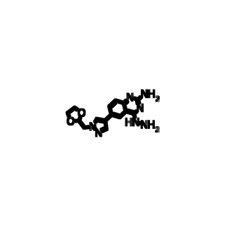 NNc1nc(N)nc2ccc(-c3cnn(CC4OCCO4)c3)cc12